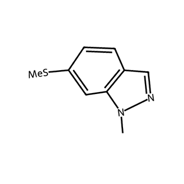 CSc1ccc2cnn(C)c2c1